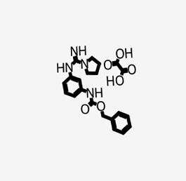 N=C(Nc1cccc(NC(=O)OCc2ccccc2)c1)N1CCCC1.O=C(O)C(=O)O